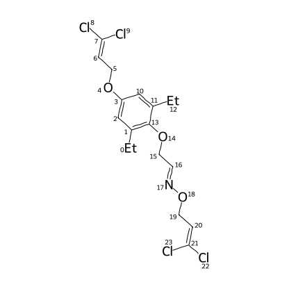 CCc1cc(OCC=C(Cl)Cl)cc(CC)c1OCC=NOCC=C(Cl)Cl